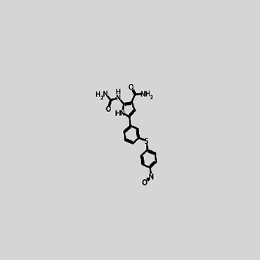 NC(=O)Nc1[nH]c(-c2cccc(Sc3ccc(N=O)cc3)c2)cc1C(N)=O